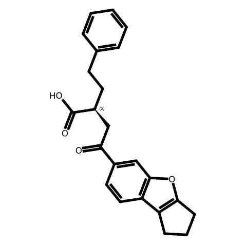 O=C(C[C@H](CCc1ccccc1)C(=O)O)c1ccc2c3c(oc2c1)CCC3